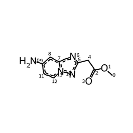 COC(=O)Cc1nc2cc(N)ccn2n1